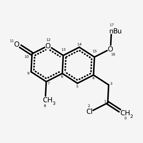 C=C(Cl)Cc1cc2c(C)cc(=O)oc2cc1OCCCC